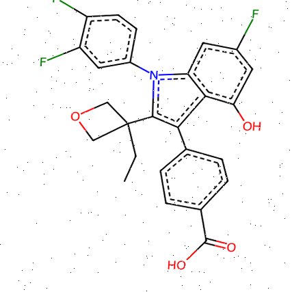 CCC1(c2c(-c3ccc(C(=O)O)cc3)c3c(O)cc(F)cc3n2-c2ccc(F)c(F)c2)COC1